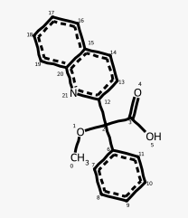 COC(C(=O)O)(c1ccccc1)c1ccc2ccccc2n1